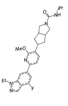 CCn1ncc2c(F)cc(-c3ccc(C4CC5CN(C(=O)NC(C)C)CC5C4)c(OC)n3)cc21